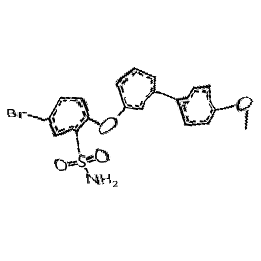 COc1ccc(-c2cccc(Oc3ccc(Br)cc3S(N)(=O)=O)c2)cc1